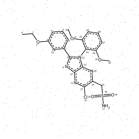 CCOc1cccc(-c2nc3nc(Cl)c(CS(N)(=O)=O)nc3n2-c2c(OC)cccc2OC)n1